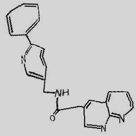 O=C(NCc1ccc(-c2ccccc2)nc1)c1cnc2ncccc2c1